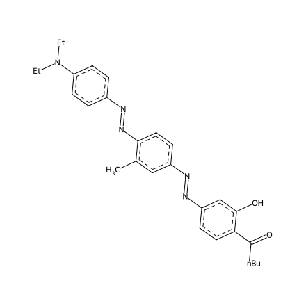 CCCCC(=O)c1ccc(/N=N/c2ccc(/N=N/c3ccc(N(CC)CC)cc3)c(C)c2)cc1O